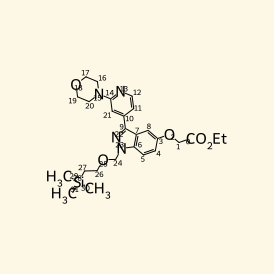 CCOC(=O)COc1ccc2c(c1)c(-c1ccnc(N3CCOCC3)c1)nn2COCC[Si](C)(C)C